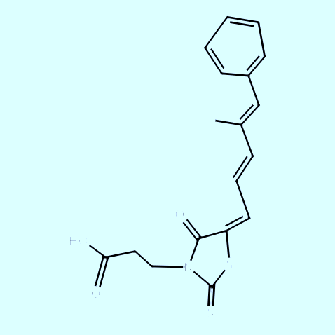 CC(/C=C/C=C1/SC(=S)N(CCC(=O)O)C1=O)=C\c1ccccc1